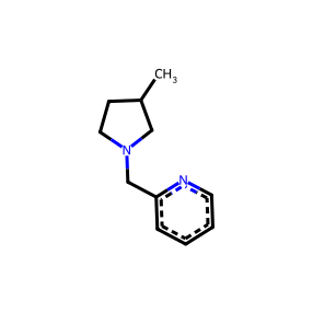 CC1CCN(Cc2ccccn2)C1